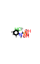 CN(CP(=O)(O)O)c1ccccc1.Cl